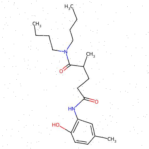 CCCCN(CCCC)C(=O)C(C)CCC(=O)Nc1cc(C)ccc1O